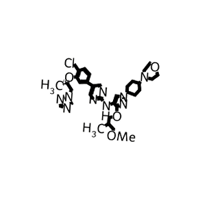 COCC(C)COc1nn(C2CCC(N3CCOCC3)CC2)cc1Nc1ncc(-c2ccc(Cl)c(O[C@@H](C)Cn3cncn3)c2)cn1